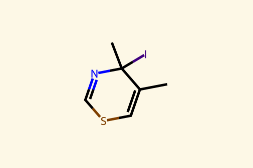 CC1=CSC=NC1(C)I